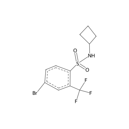 O=S(=O)(NC1CCC1)c1ccc(Br)cc1C(F)(F)F